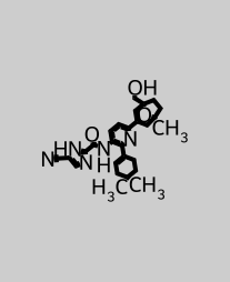 CC1(C)CC=C(c2nc(C3=CC4(CO)CCC(C)(C3)O4)ccc2NC(=O)c2ncc(C#N)[nH]2)CC1